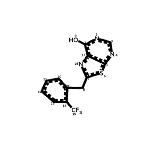 Oc1ncnc2sc(Cc3ccccc3C(F)(F)F)nc12